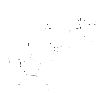 Cc1c(Br)c(CN(C(=O)OC(C)(C)C)C(C)C)nn1C